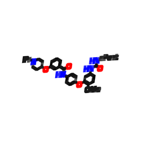 CCCCCNC(=O)Nc1ccc(OC)c(Oc2ccc(NC(=O)c3cccc(OC4CCN(C(C)C)CC4)c3)cc2)c1